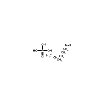 C.C.C.C.C.C.O=P(O)(O)O.[NaH]